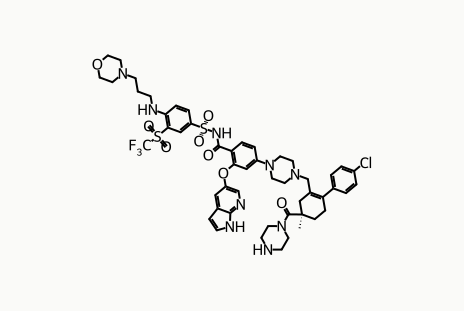 C[C@@]1(C(=O)N2CCNCC2)CCC(c2ccc(Cl)cc2)=C(CN2CCN(c3ccc(C(=O)NS(=O)(=O)c4ccc(NCCCN5CCOCC5)c(S(=O)(=O)C(F)(F)F)c4)c(Oc4cnc5[nH]ccc5c4)c3)CC2)C1